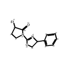 CCC1CCN(C2=NC(c3ccccc3)CO2)C1=O